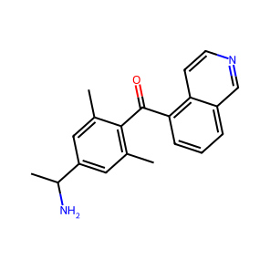 Cc1cc(C(C)N)cc(C)c1C(=O)c1cccc2cnccc12